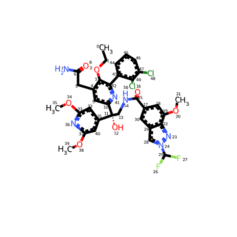 CCOc1c(CC(N)=O)cc([C@@](O)(CNC(=O)c2cc(OC)c3nn(C(F)F)cc3c2)c2cc(OC)nc(OC)c2)nc1-c1cccc(Cl)c1Cl